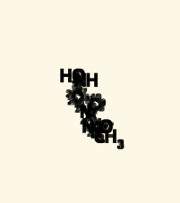 CN1CN2Cc3c(c4ccccc4n3Cc3ccc(CNO)cc3)C(C2)C1=O